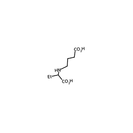 CCC(NCCCC(=O)O)C(=O)O